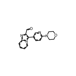 O=Cc1nc2ccccn2c1-c1ccc(N2CCOCC2)nc1